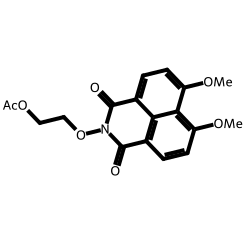 COc1ccc2c3c(ccc(OC)c13)C(=O)N(OCCOC(C)=O)C2=O